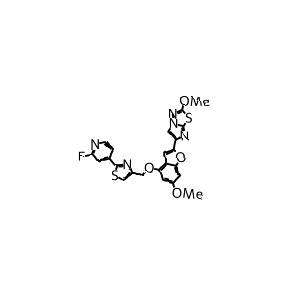 COc1cc(OCc2csc(-c3ccnc(F)c3)n2)c2cc(-c3cn4nc(OC)sc4n3)oc2c1